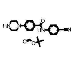 CC(C)(C)OC=O.N#Cc1ccc(NC(=O)c2ccc(N3CCNCC3)cc2)cc1